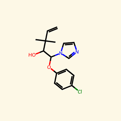 C=CC(C)(C)C(O)C(Oc1ccc(Cl)cc1)n1ccnc1